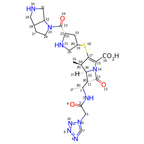 C[C@@H](NC(=O)Cn1cnnn1)[C@H]1C(=O)N2C(C(=O)O)=C(S[C@H]3CN[C@H](C(=O)N4CCC5CNCC54)C3)[C@H](C)[C@H]12